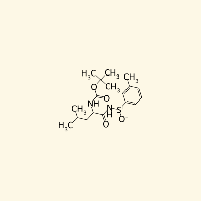 Cc1cccc([S+]([O-])NC(=O)C(CC(C)C)NC(=O)OC(C)(C)C)c1